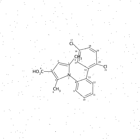 Cc1cc(C(=O)O)c(C)n1-c1ccccc1-c1cc(Cl)ccc1Cl